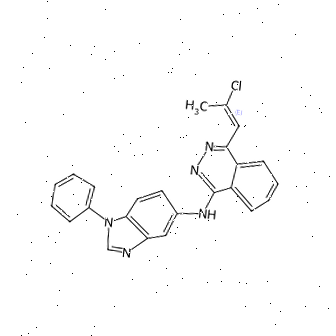 C/C(Cl)=C\c1nnc(Nc2ccc3c(c2)ncn3-c2ccccc2)c2ccccc12